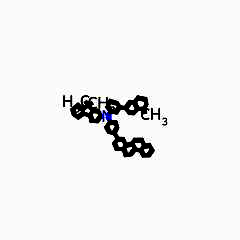 CC1CC=Cc2cc(-c3cccc(N(c4ccc(-c5ccc6ccc7c8ccccc8ccc7c6c5)cc4)c4ccc5c(c4)C(C)(C)c4ccccc4-5)c3)ccc21